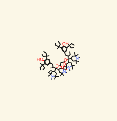 CCC(Cc1cc(C(C)(CC)CC)c(O)c(C(C)(CC)CC)c1)C(OC(=O)CC(=O)OC(C(CC)Cc1cc(C(C)(CC)CC)c(O)c(C(C)(CC)CC)c1)(C1CC(C)(C)N(C)C(C)(C)C1)C1CC(C)(C)N(C)C(C)(C)C1)(C1CC(C)(C)N(C)C(C)(C)C1)C1CC(C)(C)N(C)C(C)(C)C1